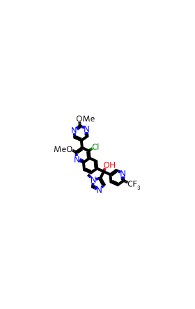 COc1ncc(-c2c(OC)nc3ccc(C(O)(c4ccc(C(F)(F)F)nc4)c4cncn4C)cc3c2Cl)cn1